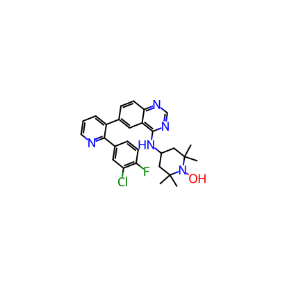 CC1(C)CC(Nc2ncnc3ccc(-c4cccnc4-c4ccc(F)c(Cl)c4)cc23)CC(C)(C)N1O